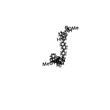 COC(=O)NCC(=O)N1CCC[C@H]1c1ncc(-c2ccc3cc(-c4ccc(-c5cnc([C@@H]6[C@@H]7CC[C@@H](C7)N6C(=O)[C@H](NC(=O)OC)c6ccccc6)[nH]5)cc4)ccc3c2)[nH]1